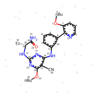 CCCCOc1cccnc1-c1cccc(Nc2nc(N[C@H](CC)C(N)=O)nc(OCCCC)c2C#N)c1